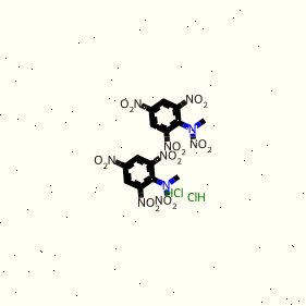 CN(c1c([N+](=O)[O-])cc([N+](=O)[O-])cc1[N+](=O)[O-])[N+](=O)[O-].CN(c1c([N+](=O)[O-])cc([N+](=O)[O-])cc1[N+](=O)[O-])[N+](=O)[O-].Cl.Cl